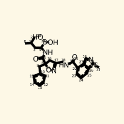 CC(C)CC(NC(=O)C1(Cc2ccccc2)CC(CNC(=O)c2cccc3c2cnn3C)=NO1)B(O)O